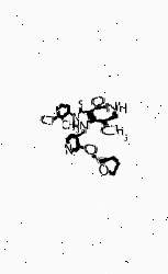 Cc1c(Cl)cccc1NC(=S)C1=C(NCc2ccncc2OC[C@@H]2CCCO2)C(C)CNC1=O